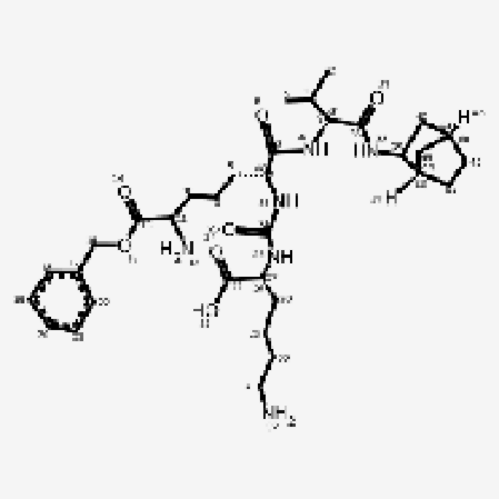 CC(C)[C@H](NC(=O)[C@@H](CCCC(N)C(=O)OCc1ccccc1)NC(=O)N[C@@H](CCCCN)C(=O)O)C(=O)NC1C[C@@H]2CC[C@H]1C2